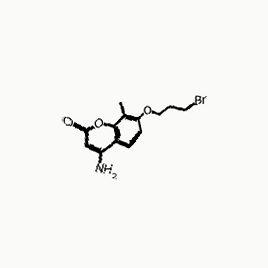 Cc1c(OCCCBr)ccc2c(N)cc(=O)oc12